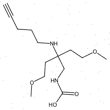 C#CCCCNC(CCOC)(CCOC)CNC(=O)O